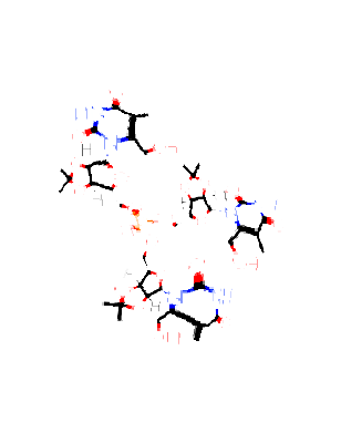 Cc1c(CO)n([C@@H]2O[C@H](COP(=O)(OC[C@H]3O[C@@H](n4c(CO)c(C)c(=O)[nH]c4=O)[C@@H]4OC(C)(C)O[C@@H]43)OC[C@H]3O[C@@H](n4c(CO)c(C)c(=O)[nH]c4=O)[C@@H]4OC(C)(C)O[C@@H]43)[C@H]3OC(C)(C)O[C@H]32)c(=O)[nH]c1=O